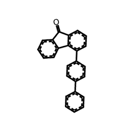 O=C1c2ccccc2-c2c1cccc2-c1ccc(-c2ccccc2)cc1